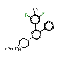 CCCCC[Si@H]1CC[C@H](c2ccc(-c3ccccc3)c(-c3cc(F)c(C#N)c(F)c3)c2)CC1